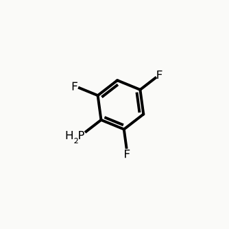 Fc1cc(F)c(P)c(F)c1